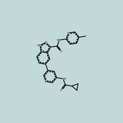 O=C(Nc1ccc(F)cn1)c1n[nH]c2ccc(-c3cncc(NC(=O)C4CC4)c3)cc12